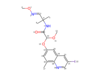 CO/N=C/C(C)(C)NC(=O)C(OC)Oc1cc(C)c2ncc(I)cc2c1